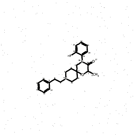 CC1OC2(CCN(CCc3ccccc3)CC2)CN(c2ccccc2F)C1=O